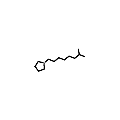 CC(C)CCCCCCN1CCCC1